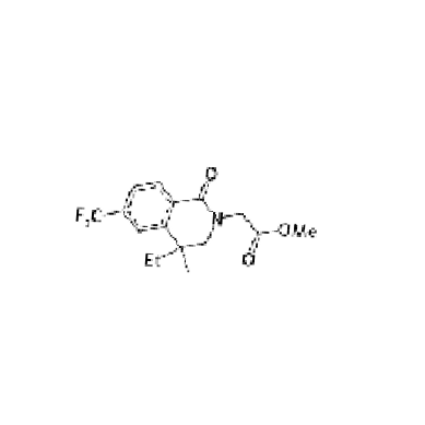 CCC1(C)CN(CC(=O)OC)C(=O)c2ccc(C(F)(F)F)cc21